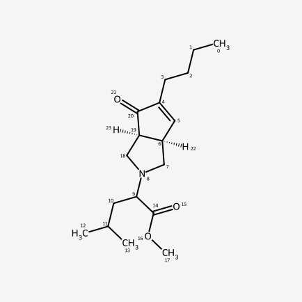 CCCCC1=C[C@H]2CN(C(CC(C)C)C(=O)OC)C[C@H]2C1=O